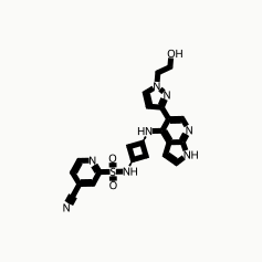 N#Cc1ccnc(S(=O)(=O)N[C@H]2C[C@@H](Nc3c(-c4ccn(CCO)n4)cnc4[nH]ccc34)C2)c1